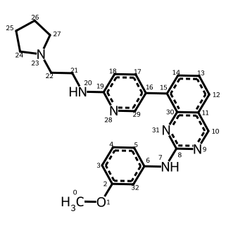 COc1cccc(Nc2ncc3cccc(-c4ccc(NCCN5CCCC5)nc4)c3n2)c1